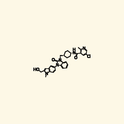 Cc1ncc(Cl)cc1C(=O)N[C@H]1CC[C@H](Cn2c(=O)n(-c3ccc4c(c3)cc(CO)n4C)c3ccccc32)CC1